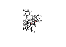 CC(C)n1nc(NC2[C@@H]3CC[C@H]2CN(C(=O)OC(C)(C)C)C3)nc1Oc1cccc(F)c1